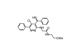 COCCNC(=O)CNc1nnc(-c2ccccc2)c(Cl)c1C(=N)c1ccccc1